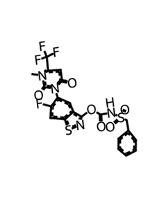 Cn1c(C(F)(F)F)cc(=O)n(-c2cc3c(OC(=O)NS(=O)(=O)Cc4ccccc4)nsc3cc2F)c1=O